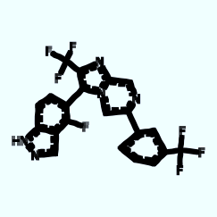 Fc1c(-c2c(C(F)(F)F)nc3cnc(-c4cccc(C(F)(F)F)c4)cn23)ccc2[nH]ncc12